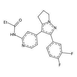 CCC(=O)Nc1cc(-c2c(-c3ccc(F)c(F)c3)nn3c2CCC3)ccn1